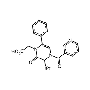 CC(C)C1C(=O)N(CC(=O)O)C(c2ccccc2)=CN1C(=O)c1cccnc1